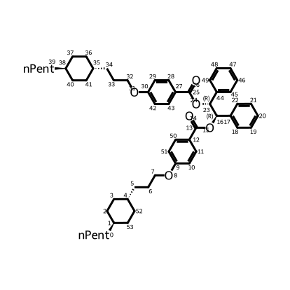 CCCCC[C@H]1CC[C@H](CCCOc2ccc(C(=O)O[C@H](c3ccccc3)[C@H](OC(=O)c3ccc(OCCC[C@H]4CC[C@H](CCCCC)CC4)cc3)c3ccccc3)cc2)CC1